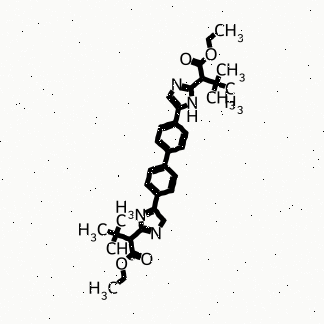 CCOC(=O)C(C1=NCC(c2ccc(-c3ccc(-c4cnc(C(C(=O)OCC)C(C)(C)C)[nH]4)cc3)cc2)=N1)C(C)(C)C